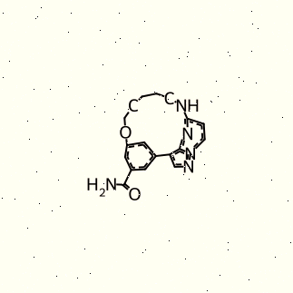 NC(=O)c1cc2cc(c1)-c1cnn3ccc(nc13)NCCCCCO2